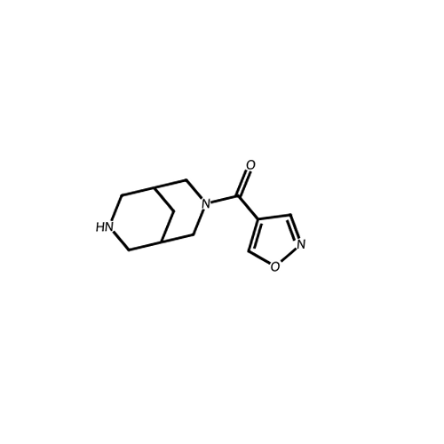 O=C(c1cnoc1)N1CC2CNCC(C2)C1